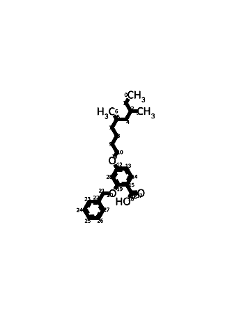 CCC(C)CC(C)CCCCOc1ccc(C(=O)O)c(OCc2ccccc2)c1